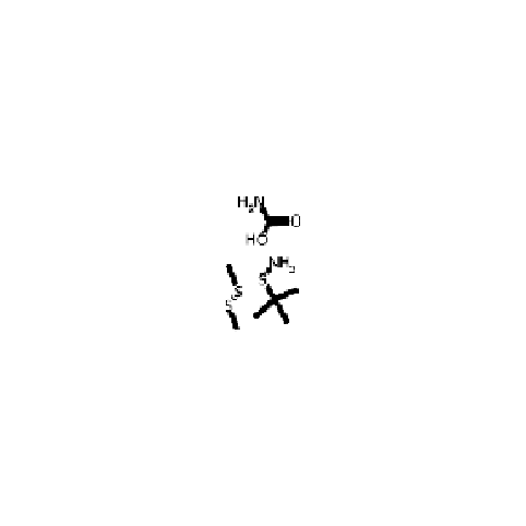 CC(C)(C)SN.CSSC.NC(=O)O